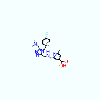 Cc1cc(C(=O)O)cc(CNCc2nnc(CN(C)C)n2Cc2ccc(F)cc2)n1